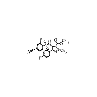 COC(=O)c1c(NS(=O)(=O)c2ccc(C#N)cc2F)c(-c2ccc(F)cc2)nn1C